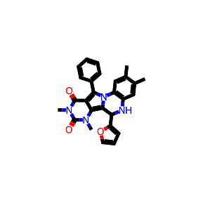 Cc1cc2c(cc1C)-n1c(-c3ccccc3)c3c(=O)n(C)c(=O)n(C)c3c1C(c1ccco1)N2